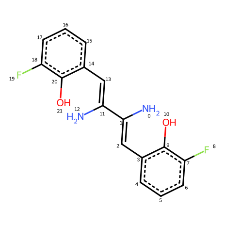 NC(=Cc1cccc(F)c1O)C(N)=Cc1cccc(F)c1O